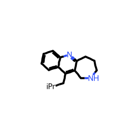 CC(C)Cc1c2c(nc3ccccc13)CCCNC2